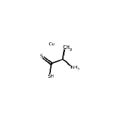 CC(N)C(=S)S.[Cu]